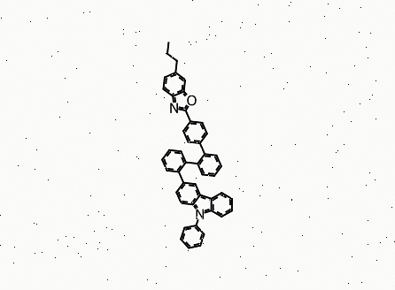 CCCc1ccc2nc(-c3ccc(-c4ccccc4-c4ccccc4-c4ccc5c(c4)c4ccccc4n5-c4ccccc4)cc3)oc2c1